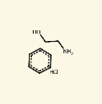 Cl.NCCO.c1ccccc1